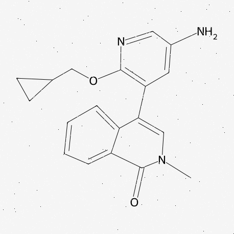 Cn1cc(-c2cc(N)cnc2OCC2CC2)c2ccccc2c1=O